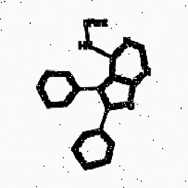 CCCCCNc1ncnc2oc(-c3ccccc3)c(-c3ccccc3)c12